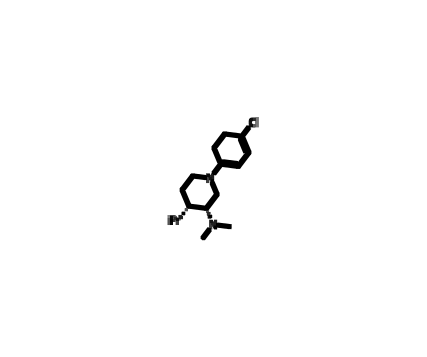 CC(C)[C@@H]1CCN(C2=CC=C(Cl)CC2)C[C@@H]1N(C)C